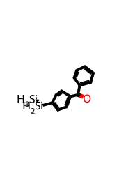 O=C(c1ccccc1)c1ccc([SiH2][SiH3])cc1